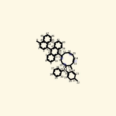 Cc1ccc(-c2c3ccccc3c(/C3=C/C=C(/N(C4=CCC(C)C=C4)c4ccccc4)C(C)/C=C\C=C/C3)c3ccccc23)c2ccccc12